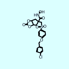 O=C1OC2CC(CS(=O)(=O)c3ccc(OCc4ccc(Cl)cc4)cc3)(C(=O)NO)CC2O1